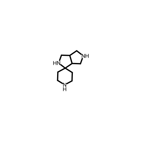 C1CC2(CCN1)NCC1CNCC12